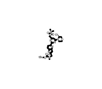 CC[C@H]1COCCN1c1cc(CS(=O)(=O)N(C)C)nc(-c2ccc3[nH]c(CN(C)C(=O)OC(C)(C)C)cc3n2)n1